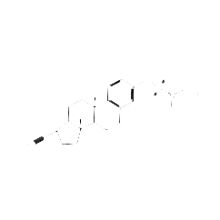 C#C[C@]1(O)CC[C@H]2[C@@H]3CCc4cc(OS(=O)(=O)N(C)C)ccc4[C@H]3CC[C@@]21C